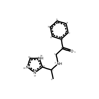 CC(NCC(=O)c1ccccc1)c1nnc[nH]1